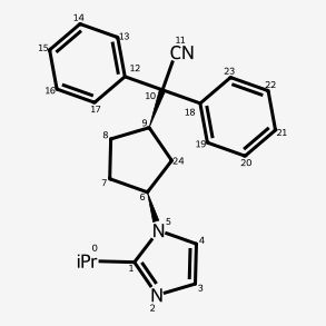 CC(C)c1nccn1[C@H]1CC[C@@H](C(C#N)(c2ccccc2)c2ccccc2)C1